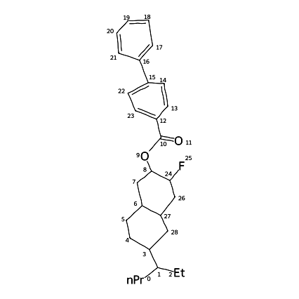 CCCC(CC)C1CCC2CC(OC(=O)c3ccc(-c4ccccc4)cc3)C(F)CC2C1